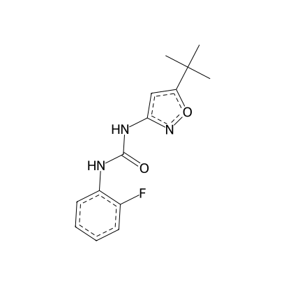 CC(C)(C)c1cc(NC(=O)Nc2ccccc2F)no1